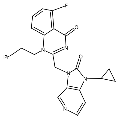 CC(C)CCn1c(Cn2c(=O)n(C3CC3)c3ccncc32)nc(=O)c2c(F)cccc21